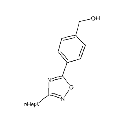 CCCCCCCc1noc(-c2ccc(CO)cc2)n1